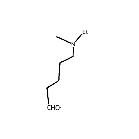 CCN(C)CCCC[C]=O